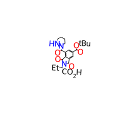 CCC(C(=O)O)N1C(=O)c2cc(C(=O)OC(C)(C)C)cc(C(=O)N3CCCCN3)c2C1=O